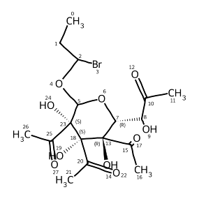 CCC(Br)OC1O[C@H](C(O)C(C)=O)[C@](O)(C(C)=O)[C@@](O)(C(C)=O)[C@@]1(O)C(C)=O